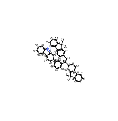 CC1(C)c2ccccc2-c2ccc(C(Cc3ccc4c(c3)C(C)(C)c3cccc(-n5c6ccccc6c6ccccc65)c3-4)c3ccccc3)cc21